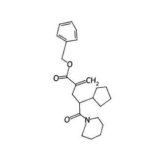 C=C(CC(C(=O)N1CCCCC1)C1CCCC1)C(=O)OCc1ccccc1